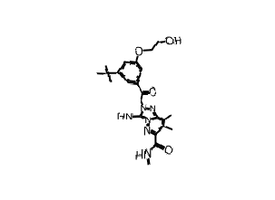 CNC(=O)c1nn2c(=N)n(CC(=O)c3cc(OCCO)cc(C(C)(C)C)c3)nc2c(C)c1C